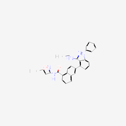 CCNc1nn(-c2ccccc2)c2cccc(-c3ccc4c(C(=O)Nc5cc(C)on5)cccc4c3)c12